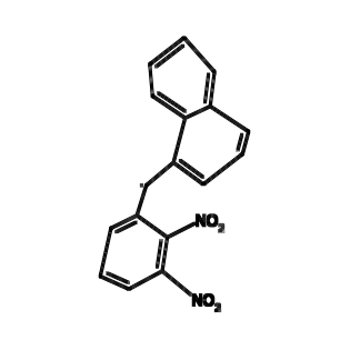 O=[N+]([O-])c1cccc([CH]c2cccc3ccccc23)c1[N+](=O)[O-]